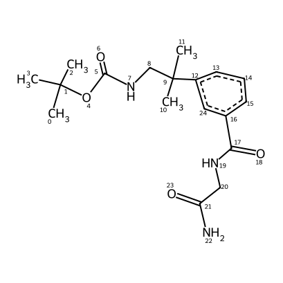 CC(C)(C)OC(=O)NCC(C)(C)c1cccc(C(=O)NCC(N)=O)c1